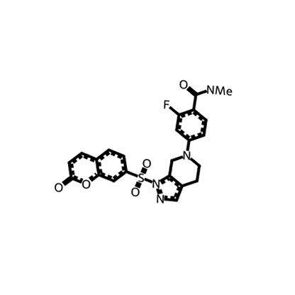 CNC(=O)c1ccc(N2CCc3cnn(S(=O)(=O)c4ccc5ccc(=O)oc5c4)c3C2)cc1F